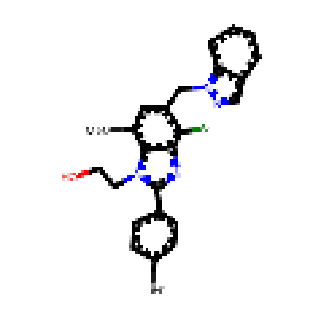 COc1cc(Cn2ncc3ccccc32)c(Br)c2nc(-c3ccc(C(C)C)cc3)n(CCO)c12